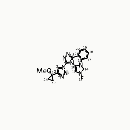 COC1(c2cn(-c3nnc4n3C3=CN(F)CN3c3ccccc3-4)nn2)CC1